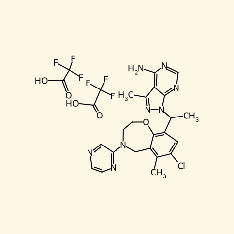 Cc1c(Cl)cc(C(C)n2nc(C)c3c(N)ncnc32)c2c1CN(c1cnccn1)CCO2.O=C(O)C(F)(F)F.O=C(O)C(F)(F)F